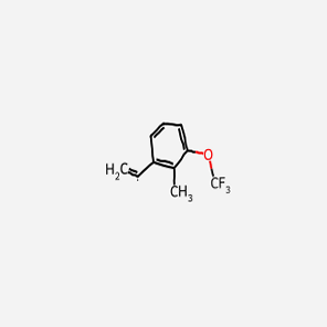 C=[C]c1cccc(OC(F)(F)F)c1C